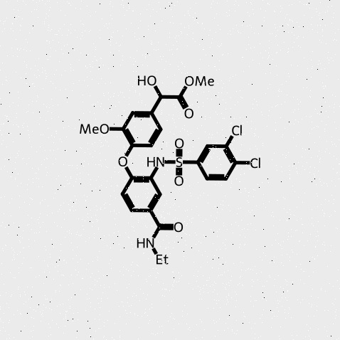 CCNC(=O)c1ccc(Oc2ccc(C(O)C(=O)OC)cc2OC)c(NS(=O)(=O)c2ccc(Cl)c(Cl)c2)c1